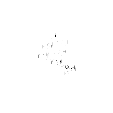 O=C(O)C(F)(F)C(F)(F)Cl.O=C(O)C(F)(F)C(F)(F)Cl.O=C(O)C(F)(F)C(F)(F)Cl.O=C(O)C(F)(F)C(F)(F)Cl.OB(O)O